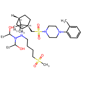 CCC(O)N(C(O)CC)N(CCCCS(C)(=O)=O)[C@@H]1C[C@@H]2CC[C@@]1(CS(=O)(=O)N1CCN(c3ccccc3C)CC1)C2(C)C